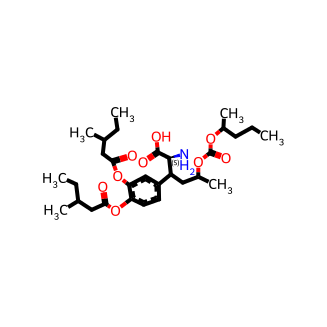 CCCC(C)OC(=O)OC(C)CC(c1ccc(OC(=O)CC(C)CC)c(OC(=O)CC(C)CC)c1)[C@H](N)C(=O)O